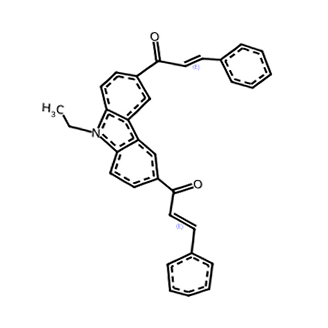 CCn1c2ccc(C(=O)/C=C/c3ccccc3)cc2c2cc(C(=O)/C=C/c3ccccc3)ccc21